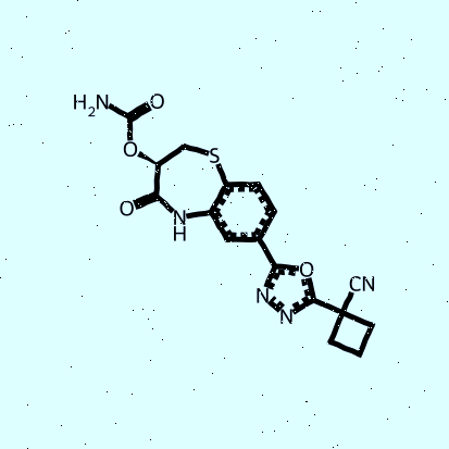 N#CC1(c2nnc(-c3ccc4c(c3)NC(=O)[C@@H](OC(N)=O)CS4)o2)CCC1